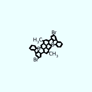 Cc1cc2c3c(cc4c(C)cc5c6c(cc1c3c46)B1c3ccccc3-c3cc(Br)cc-5c31)B1c3ccccc3-c3cc(Br)cc-2c31